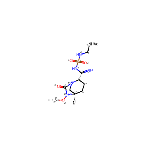 CC(=O)NCNS(=O)(=O)NC(=N)[C@@H]1CC[C@@H]2CN1C(=O)N2OS(=O)(=O)O